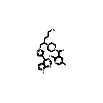 N#CCCC[C@H](Cn1cc(-c2ncnc3[nH]ccc23)cn1)N1CCN(C(=O)c2cc(F)cnc2Cl)CC1